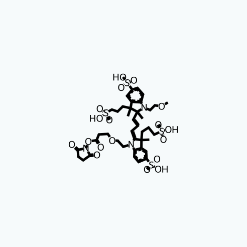 COCCN1c2ccc(S(=O)(=O)O)cc2C(C)(CCCS(=O)(=O)O)C1(C)/C=C/C=C1/N(CCOCCC(=O)ON2C(=O)CCC2=O)c2ccc(S(=O)(=O)O)cc2C1(C)CCCS(=O)(=O)O